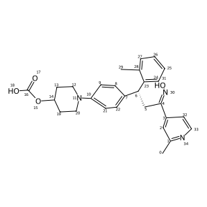 Cc1cc(/C(C[C@H](c2ccc(N3CCC(OC(=O)O)CC3)cc2)c2ccccc2C)=N/O)ccn1